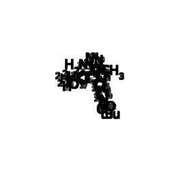 [2H]C([2H])([2H])Oc1ccc(-c2c(C3=C(F)CC4(CC3)CCN(C(=O)OC(C)(C)C)CC4)n(C)c3ncnc(N)c23)cc1